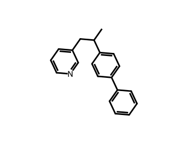 CC(Cc1cccnc1)c1ccc(-c2ccccc2)cc1